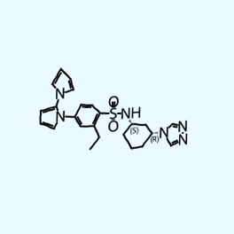 CCc1cc(-n2cccc2-n2cccc2)ccc1S(=O)(=O)N[C@H]1CCC[C@@H](n2cnnc2)C1